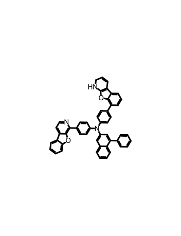 C1=Cc2c(oc3c(-c4ccc(N(c5ccc(-c6nccc7c6oc6ccccc67)cc5)c5cc(-c6ccccc6)c6ccccc6c5)cc4)cccc23)NC1